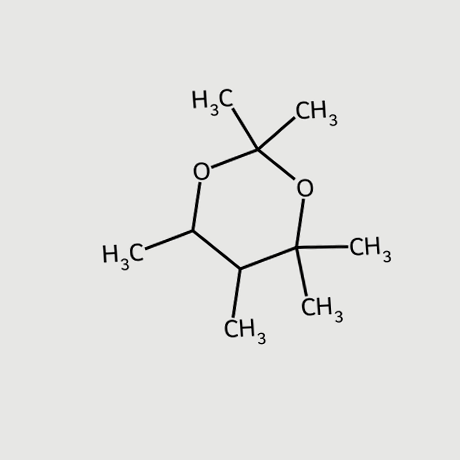 CC1OC(C)(C)OC(C)(C)C1C